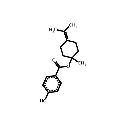 CC(C)=C1CCC(C)(OC(=O)c2ccc(O)cc2)CC1